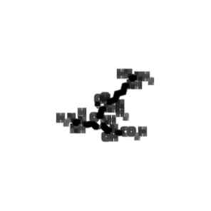 N=C(N)NCCC[C@H](NC(=O)[C@H](CO)NC(=O)[C@@H](N)CCCNC(=N)N)C(=O)NCC(=O)O